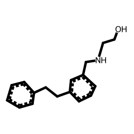 OCCNCc1cccc(CCc2ccccc2)c1